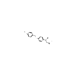 C#CC(CC(=C)O)c1ccc(OCc2ccc(OC)cc2)cc1